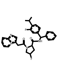 CC(C)c1ccc(C(NC(=O)C2CC(F)CN2C(=O)Cc2cnc3ccccn23)c2ccccc2)cc1F